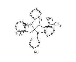 C=C(C)CC(CC)C(CC(=C)C)(P(c1ccccc1)c1ccccc1)P(c1ccccc1)c1ccccc1.[Ru]